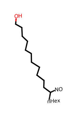 CCCCCCC(CCCCCCCCCCCO)N=O